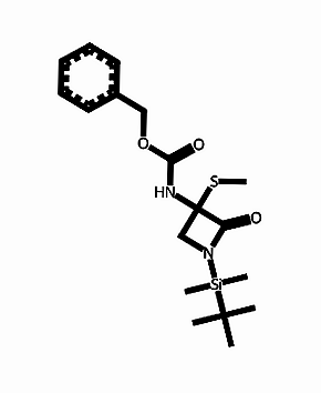 CSC1(NC(=O)OCc2ccccc2)CN([Si](C)(C)C(C)(C)C)C1=O